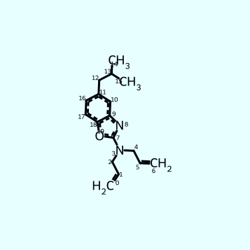 C=CCN(CC=C)c1nc2cc(CC(C)C)ccc2o1